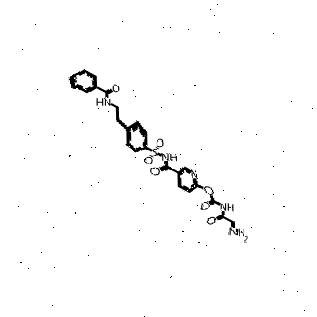 NCC(=O)NC(=O)Oc1ccc(C(=O)NS(=O)(=O)c2ccc(CCNC(=O)c3ccccc3)cc2)cn1